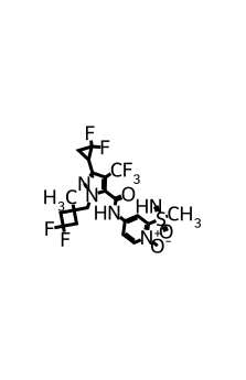 CC1(Cn2nc(C3CC3(F)F)c(C(F)(F)F)c2C(=O)Nc2cc[n+]([O-])c(S(C)(=N)=O)c2)CC(F)(F)C1